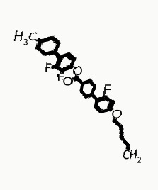 C=CCCCOc1ccc(C2CCC(C(=O)Oc3ccc(C4CCC(C)CC4)c(F)c3F)CC2)c(F)c1